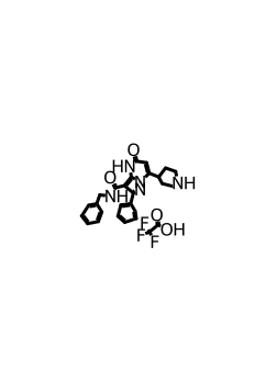 O=C(NCc1ccccc1)c1c(-c2ccccc2)nn2c(C3CCNCC3)cc(=O)[nH]c12.O=C(O)C(F)(F)F